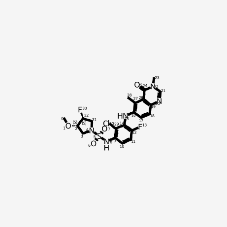 CO[C@H]1CN(S(=O)(=O)Nc2ccc(F)c(Nc3ccc4ncn(C)c(=O)c4c3C)c2Cl)C[C@@H]1F